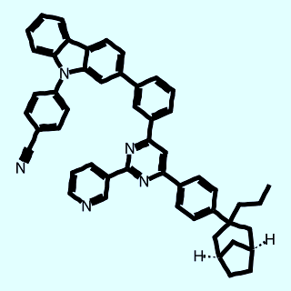 CCCC1(c2ccc(-c3cc(-c4cccc(-c5ccc6c7ccccc7n(-c7ccc(C#N)cc7)c6c5)c4)nc(-c4cccnc4)n3)cc2)C[C@@H]2CC[C@@H](C2)C1